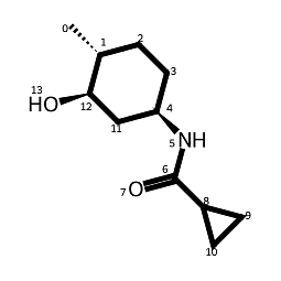 C[C@@H]1CC[C@@H](NC(=O)C2CC2)C[C@H]1O